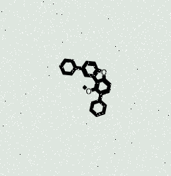 COc1c(C2CCCCC2)ccc2oc3ccc(C4CCCCC4)cc3c12